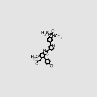 Cc1cc2nc(-c3ccnc(-c4ccc5c(c4)n(C)c(=O)n5C)c3)sc2c(-c2ccc(Cl)cc2)c1CC(=O)O